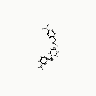 CN(C)c1ccc(CNC[C@H]2CC[C@@H](Nc3nccc(N(C)C)n3)CC2)cc1